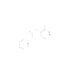 Oc1ccc([C@H]2Oc3cc(O)cc(O)c3C[C@@H]2O)cc1